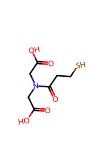 O=C(O)CN(CC(=O)O)C(=O)CCS